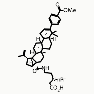 C=C(C)[C@@H]1CC[C@]2(C(=O)NCCN(CCC)CC(=O)O)CC[C@]3(C)[C@H](CC[C@@H]4[C@@]5(C)CC=C(c6ccc(C(=O)OC)cc6)C(C)(C)[C@@H]5CC[C@]43C)[C@@H]12